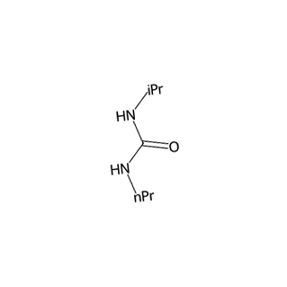 [CH2]CCNC(=O)NC(C)C